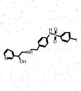 O=S(=O)(Nc1ccc(CCNCC(O)c2cccnc2)cc1)c1ccc(I)cc1